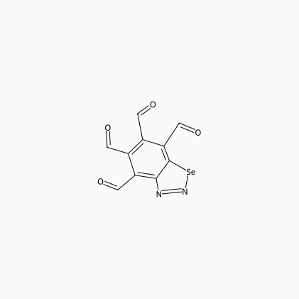 O=Cc1c(C=O)c(C=O)c2[se]nnc2c1C=O